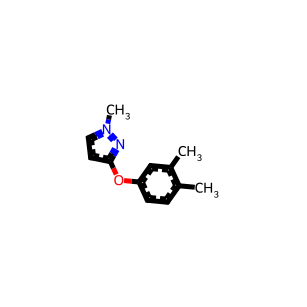 Cc1ccc(Oc2ccn(C)n2)cc1C